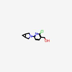 OCc1ccc(N2CC3CC3C2)nc1Cl